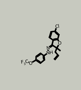 C=CCC1(C)Oc2cc(Cl)ccc2C1=NNc1ccc(OC(F)(F)F)cc1